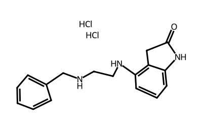 Cl.Cl.O=C1Cc2c(NCCNCc3ccccc3)cccc2N1